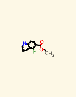 CCOC(=O)c1ccc2ncccc2c1F